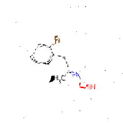 C/C(Cc1ccccc1Br)=N\O